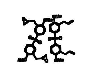 C=CCc1cc(S(=O)(=O)c2ccc(OC)c(CC=C)c2)ccc1OC.COc1ccc(S(=O)(=O)c2ccc(OC)c(CC3CO3)c2)cc1CC1CO1